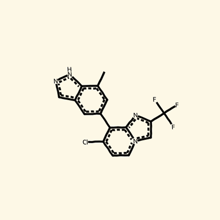 Cc1cc(-c2c(Cl)ccn3cc(C(F)(F)F)nc23)cc2cn[nH]c12